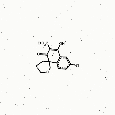 CCOC(=O)C1=C(O)c2cc(Cl)ccc2C2(CCCOC2)C1=O